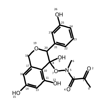 CC(=O)C(=O)N(C)OC1(O)c2c(O)cc(O)cc2COC1c1cccc(O)c1